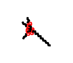 CCCCCCCCCCCCCC(=O)OC(CC(=O)OCCCC)(CC(=O)OCCCC)C(=O)OCCCC